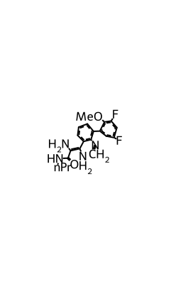 C=Nc1c(/C(N)=C(\N)C(=O)NCCC)cccc1-c1cc(F)cc(F)c1OC